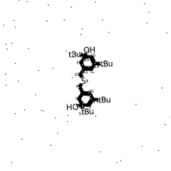 CC(C)(C)C1=CC(O)(C(C)(C)C)CC(CSCC2=CC(C(C)(C)C)=CC(O)(C(C)(C)C)C2)=C1